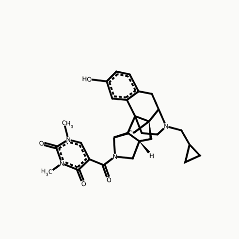 Cn1cc(C(=O)N2C[C@H]3C[C@@]45CCC2C3C42CCN(CC3CC3)C5Cc3ccc(O)cc32)c(=O)n(C)c1=O